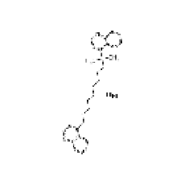 CC(C)(CCCCCCCCCc1ccnc2ccccc12)c1ccnc2ccccc12.I.I